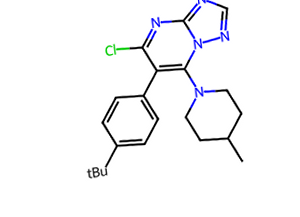 CC1CCN(c2c(-c3ccc(C(C)(C)C)cc3)c(Cl)nc3ncnn23)CC1